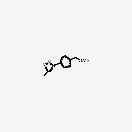 COCc1ccc(-n2cc(C)nn2)cc1